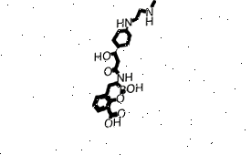 CNCCN[C@H]1CC[C@H](C(O)CC(=O)N[C@H]2Cc3cccc(C(=O)O)c3OB2O)CC1